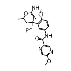 COc1cnc(C(=O)Nc2ccc(Cl)c([C@]3(CF)N=C(N)OC(C)[C@H]3C)c2)cn1